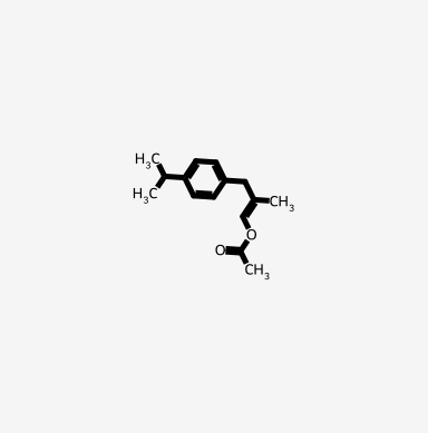 CC(=O)OC=C(C)Cc1ccc(C(C)C)cc1